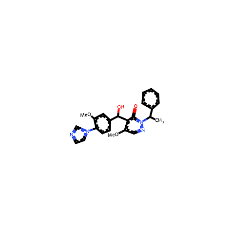 COc1cc(C(O)c2c(OC)cnn(C(C)c3ccccc3)c2=O)ccc1-n1ccnc1